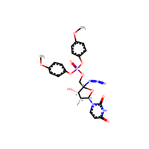 COc1ccc(OP(=O)(OC[C@@]2(N=[N+]=[N-])O[C@@H](n3ccc(=O)[nH]c3=O)[C@H](F)[C@@H]2O)Oc2ccc(OC)cc2)cc1